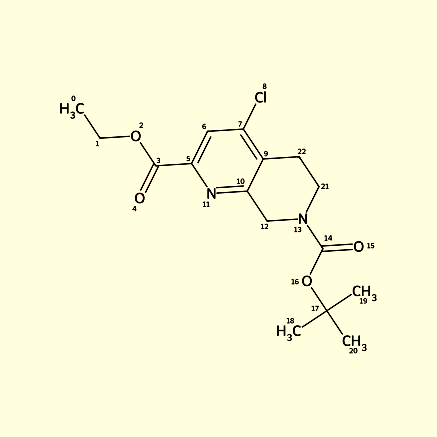 CCOC(=O)c1cc(Cl)c2c(n1)CN(C(=O)OC(C)(C)C)CC2